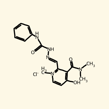 CN(C)C(=O)c1c(O)cc[n+](C)c1C=NNC(=O)Nc1ccccc1.[Cl-]